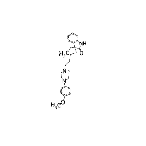 CCC1(CCCCN2CCN(c3ccc(OC)cc3)CC2)C(=O)Nc2ccccc21